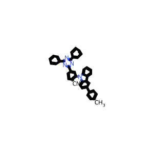 Cc1ccc(-c2ccc3c(c2)c2ccccc2n3-c2cc(-c3nc(-c4ccccc4)nc(-c4ccccc4)n3)ccc2C#N)cc1